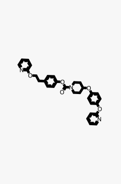 O=C(Oc1ccc(CCOc2ccccn2)cc1)N1CCC(Oc2ccc(Oc3ccccn3)cc2)CC1